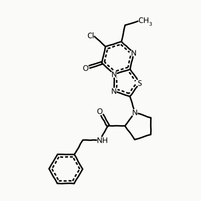 CCc1nc2sc(N3CCCC3C(=O)NCc3ccccc3)nn2c(=O)c1Cl